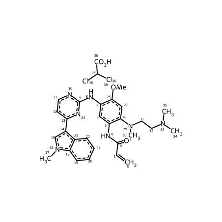 C=CC(=O)Nc1cc(Nc2nccc(-c3cn(C)c4ccccc34)n2)c(OC)cc1N(C)CCN(C)C.O=C(O)C(Cl)Cl